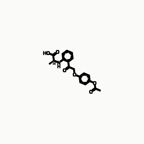 CC(=O)Oc1ccc(OCC(=O)c2ccccc2N[C@@H](C)C(=O)O)cc1